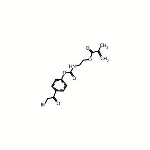 C=C(C)C(=O)OCCNC(=O)Oc1ccc(C(=O)CBr)cc1